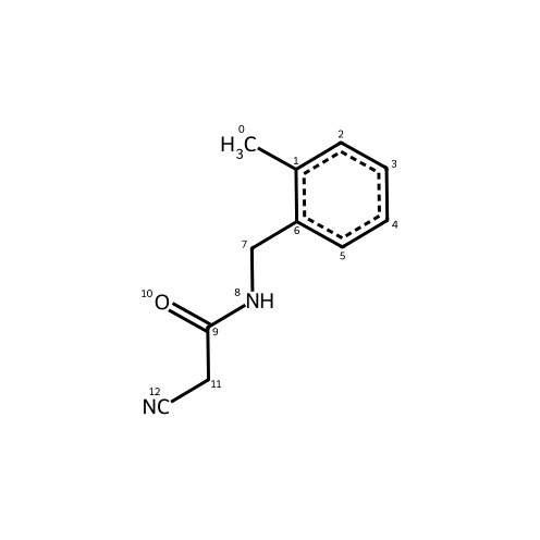 Cc1ccccc1CNC(=O)CC#N